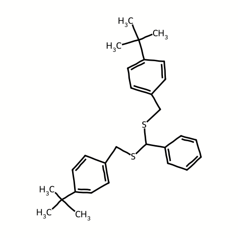 CC(C)(C)c1ccc(CSC(SCc2ccc(C(C)(C)C)cc2)c2ccccc2)cc1